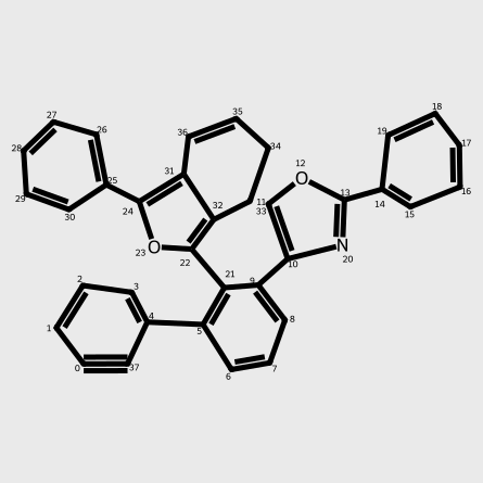 c1cccc(-c2cccc(-c3coc(-c4ccccc4)n3)c2-c2oc(-c3ccccc3)c3c2CCC=C3)c#1